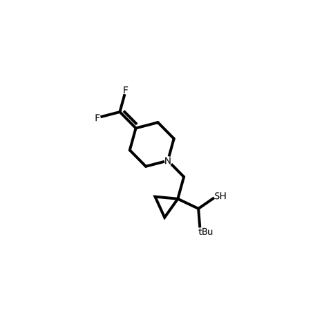 CC(C)(C)C(S)C1(CN2CCC(=C(F)F)CC2)CC1